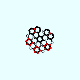 c1ccc(-c2c(-c3ccccn3)c(N3c4ccccc4Oc4ccccc43)c(N3c4ccccc4Oc4ccccc43)c(N3c4ccccc4Oc4ccccc43)c2N2c3ccccc3Oc3ccccc32)nc1